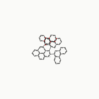 [c]1c(-c2cc3ccccc3c3ccccc23)c(-c2cc3ccccc3c3ccccc23)c2c(-c3cc4ccccc4c4ccccc34)cc3cccc4ccc1c2c43